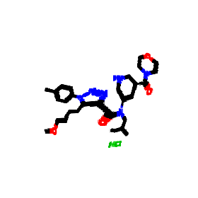 COCCCCc1c(C(=O)N(CC(C)C)[C@@H]2CNC[C@H](C(=O)N3CCOCC3)C2)nnn1-c1ccc(C)cc1.Cl